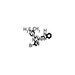 C[C@@H]1CN(c2nc(NCc3nc4ccccc4[nH]3)n3ncc(Br)c3n2)CCN1C